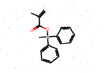 C=C(C)C(=O)O[Si](C)(c1ccccc1)c1ccccc1